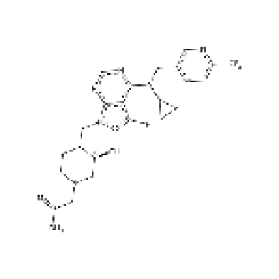 NC(=O)CN1CCC(Cn2cc(F)c3c(N(Cc4ccc(C(F)(F)F)nc4)C4CC4)ncnc32)[C@@H](O)C1